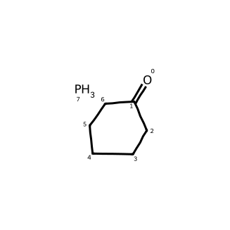 O=C1CCCCC1.P